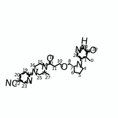 Cc1c(N2CCC[C@H]2COCCC(=O)N2CCN(c3ccc(C#N)cn3)CC2C)cn[nH]c1=O